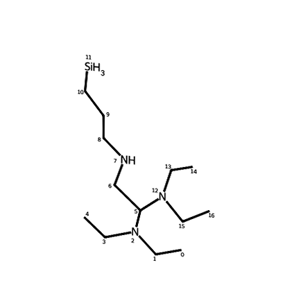 CCN(CC)C(CNCCC[SiH3])N(CC)CC